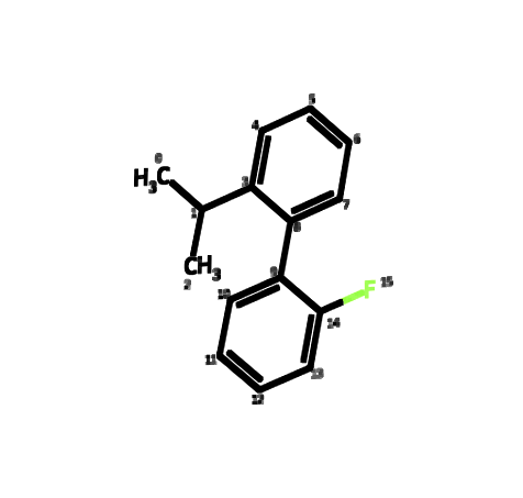 CC(C)c1ccccc1-c1ccccc1F